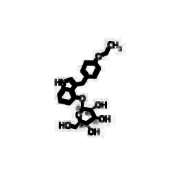 CCOc1ccc(Cc2c[nH]c3cccc(O[C@@H]4O[C@H](CO)[C@@H](O)[C@H](O)[C@H]4O)c23)cc1